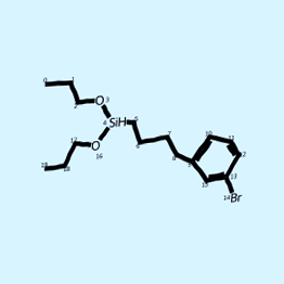 CCCO[SiH](CCCCc1cccc(Br)c1)OCCC